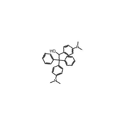 CN(C)c1ccc(C(O)C(c2ccccc2)(c2ccccc2)c2ccc(N(C)C)cc2)cc1